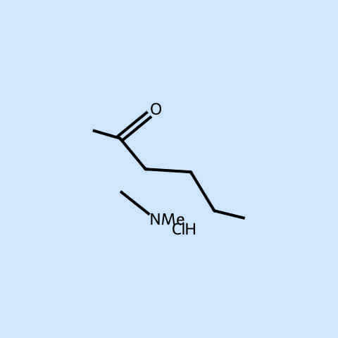 CCCCC(C)=O.CNC.Cl